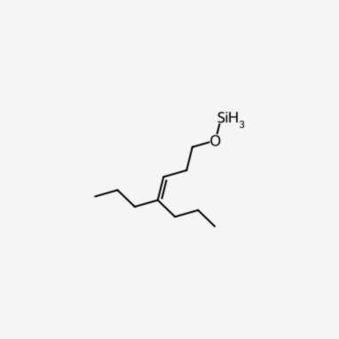 CCCC(=CCCO[SiH3])CCC